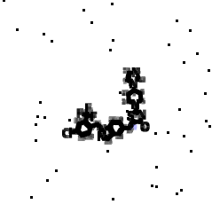 O=C1N=C(N2CCC(n3ccnc3)CC2)S/C1=C\c1ccc2c(cnn2Cc2ccc(Cl)cc2C(F)(F)F)c1